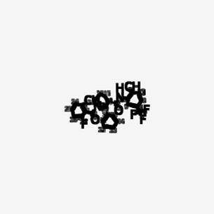 Cc1ccc(C(F)(F)F)cc1NC(=O)[C@H]1CCCN(C(=O)c2c(C)cccc2F)[C@H]1c1ccccc1